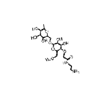 COCC1OC(OCC2OC(C)C(O)C(O)C2O)C(O)C(O)C1OCC(=O)NCCN